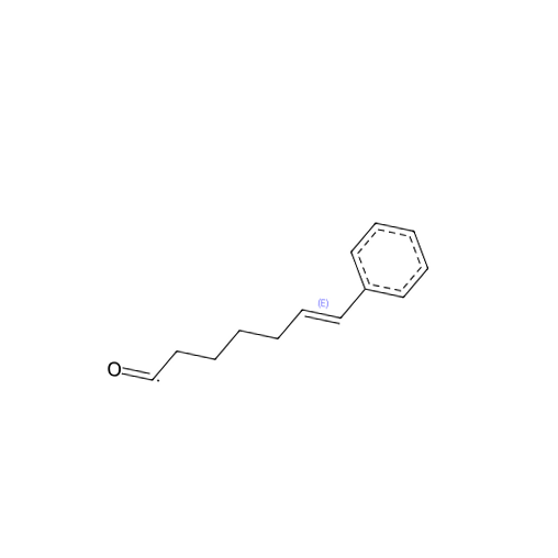 O=[C]CCCC/C=C/c1ccccc1